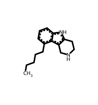 CCCCCc1cccc2[nH]c3c(c12)CNCC3